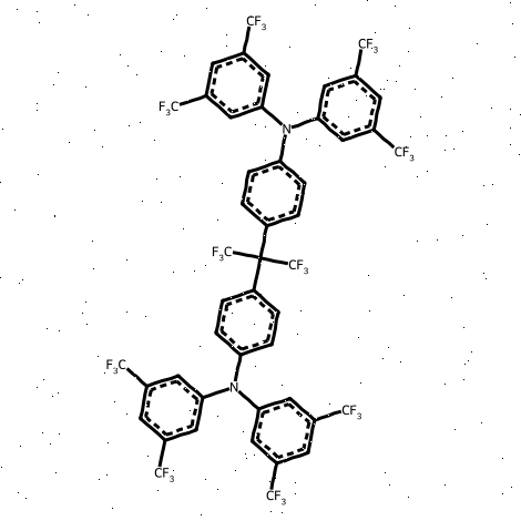 FC(F)(F)c1cc(N(c2ccc(C(c3ccc(N(c4cc(C(F)(F)F)cc(C(F)(F)F)c4)c4cc(C(F)(F)F)cc(C(F)(F)F)c4)cc3)(C(F)(F)F)C(F)(F)F)cc2)c2cc(C(F)(F)F)cc(C(F)(F)F)c2)cc(C(F)(F)F)c1